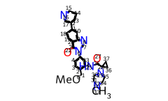 COCc1ccc(-n2cnc3cc(-c4cccnc4)ccc3c2=O)cc1NC(=O)C1(N2CCN(C)CC2)CC1